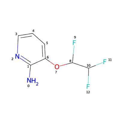 Nc1ncccc1OC(F)C(F)F